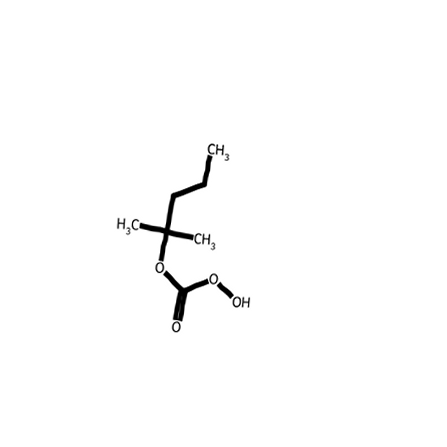 CCCC(C)(C)OC(=O)OO